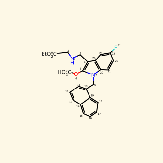 CCOC(=O)CNCc1c(OC(=O)O)n(Cc2cccc3ccccc23)c2ccc(F)cc12